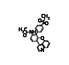 CCS(=O)(=O)c1ccc(-c2c(NC(C)=O)ccc(-c3ccncc3)c2Oc2ccccc2)cc1